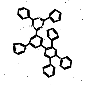 c1ccc(C2=NC(c3ccccc3)NC(c3cc(-c4ccccc4)cc(-c4cc(-c5ccccc5)c(-c5ccccc5)cc4-c4ccccc4)c3)=N2)cc1